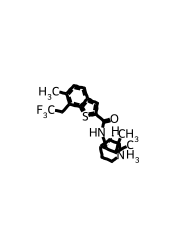 Cc1ccc2cc(C(=O)N[C@@H]3C4CCN(CC4)C3(C)C)sc2c1CC(F)(F)F